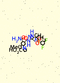 COc1cc(C(N)=O)c(C(=O)Nc2n[nH]c3c2CN(S(=O)(=O)c2cc(F)cc(F)c2)C3(C)C)cc1-n1cccc1C(=O)O